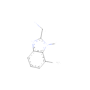 CCn1c([C@@H](C)N)nc2cccc(OC)c21